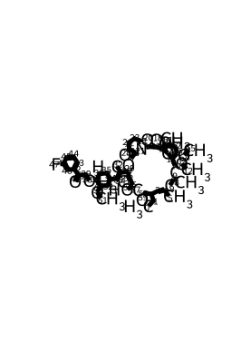 CCC1/C=C(\C)CC(C)CC(OC)C2OC(O)(C(=O)C(=O)N3CCCCC3C(=O)OC(C(C)=CC3CCC(OCC(=O)c4cccc(F)c4)C(OC)C3)C(C)C(O)CC1=O)C(C)CC2OC